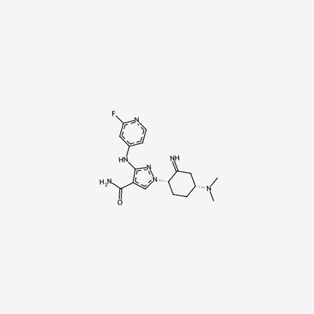 CN(C)[C@@H]1CC[C@H](n2cc(C(N)=O)c(Nc3ccnc(F)c3)n2)C(=N)C1